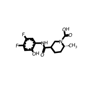 C[C@@H]1CCC(C(=O)Nc2cc(F)c(F)cc2O)CN1C(=O)O